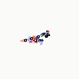 CC(C)c1ccccc1[C@@H]1COCCN1C1CC2(CCN(c3ccc(C(=O)NS(=O)(=O)c4ccc(NC[C@H]5CC[C@](C)(O)CC5)c([N+](=O)[O-])c4)c(N4c5cc6cc[nH]c6nc5O[C@@H]5C[C@](C)(O)CC[C@H]54)c3)CC2)C1